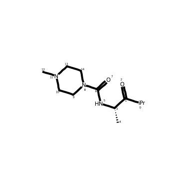 CC(C)C(=O)[C@H](C)NC(=O)N1CCN(C)CC1